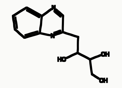 OCC(O)C(O)Cc1cnc2ccccc2n1